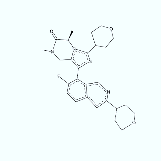 C[C@@H]1C(=O)N(C)Cc2c(-c3c(F)ccc4cc(C5CCOCC5)ncc34)nc(C3CCOCC3)n21